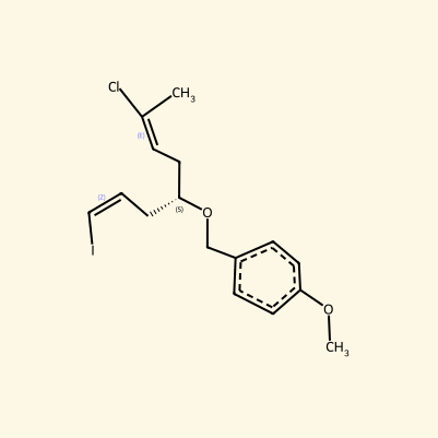 COc1ccc(CO[C@H](C/C=C\I)C/C=C(\C)Cl)cc1